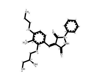 CCCOc1ccc(/C=C2/C(=O)NN(c3ccccc3)C2=O)c(OC[C@@H](O)CO)c1C